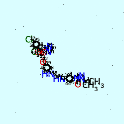 CCC(C)n1ncn(-c2ccc(NCCCNc3ccc(OC[C@@H]4CO[C@@](Cn5nccn5)(c5ccc(Cl)cc5Cl)O4)cc3)cc2)c1=O